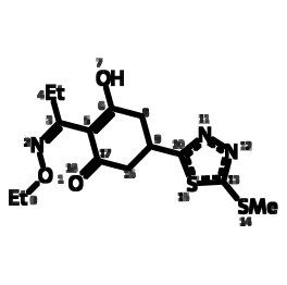 CCO/N=C(/CC)C1=C(O)CC(c2nnc(SC)s2)CC1=O